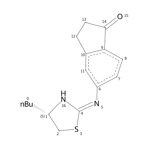 CCCC[C@H]1CSC(=Nc2ccc3c(c2)CCC3=O)N1